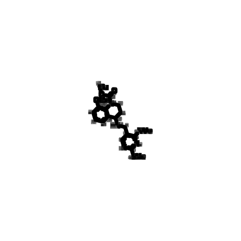 CNc1nc(SC)ncc1CNC1CCN(C(=O)OC(C)(C)C)c2c(OC)cccc21